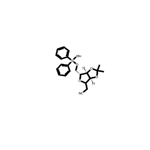 CC1(C)O[C@@H]2[C@@H](CO[Si](c3ccccc3)(c3ccccc3)C(C)(C)C)OC(CC#N)[C@@H]2O1